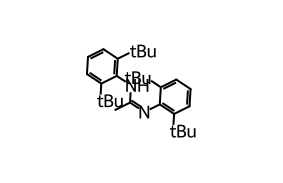 CC(=Nc1c(C(C)(C)C)cccc1C(C)(C)C)Nc1c(C(C)(C)C)cccc1C(C)(C)C